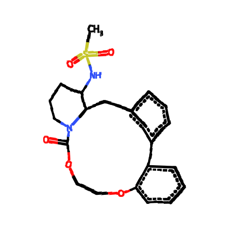 CS(=O)(=O)NC1CCCN2C(=O)OCCOc3ccccc3-c3cccc(c3)CC12